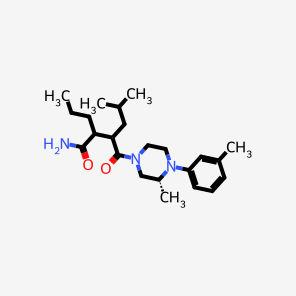 CCCC(C(N)=O)C(CC(C)C)C(=O)N1CCN(c2cccc(C)c2)[C@H](C)C1